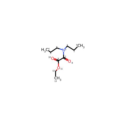 CCCN(CCC)C(=O)C(=O)OCC